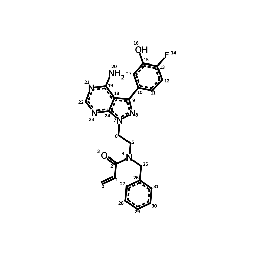 C=CC(=O)N(CCn1nc(-c2ccc(F)c(O)c2)c2c(N)ncnc21)Cc1ccccc1